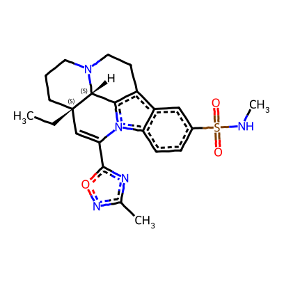 CC[C@@]12C=C(c3nc(C)no3)n3c4c(c5cc(S(=O)(=O)NC)ccc53)CCN(CCC1)[C@H]42